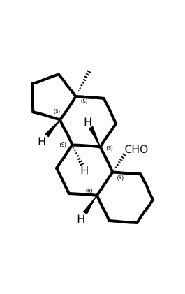 C[C@@]12CCC[C@H]1[C@@H]1CC[C@H]3CCCC[C@]3(C=O)[C@H]1CC2